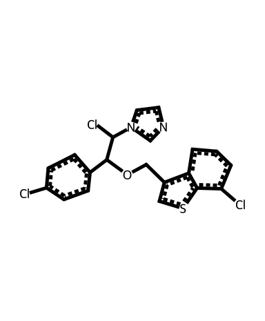 Clc1ccc(C(OCc2csc3c(Cl)cccc23)C(Cl)n2ccnc2)cc1